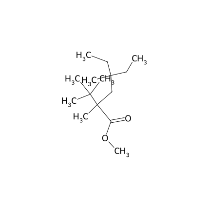 CCC(C)(CC)CC(C)(C(=O)OC)C(C)(C)C